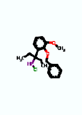 CCC(CC)(PCl)c1cccc(OC)c1OCc1ccccc1